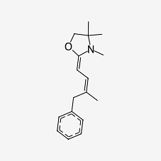 C/C(=C/C=C1/OCC(C)(C)N1C)Cc1ccccc1